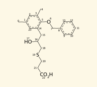 Cc1cc(C)c(OCc2ccccc2)c(CC(O)CSCCC(=O)O)c1